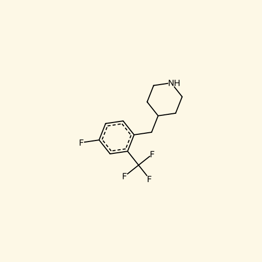 Fc1ccc(CC2CCNCC2)c(C(F)(F)F)c1